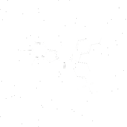 CC(=O)NS(=O)(=O)N1CCC(NC(=O)c2cc3c(Cl)c(Cl)ccc3n2C)(c2cccc(CO)c2)CC1